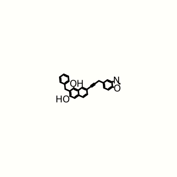 Oc1cc2ccc(C#CCc3ccc4ocnc4c3)cc2c(O)c1Cc1ccccc1